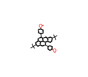 COc1ccc(-c2cc3cc(C(C)(C)C)cc4cc(-c5ccc(OC)cc5)c5c6ccc(C(C)(C)C)cc6cc2c5c34)cc1